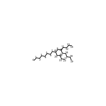 CCCCCCCCC([CH]C(CCCC)CCCCC)CCCC